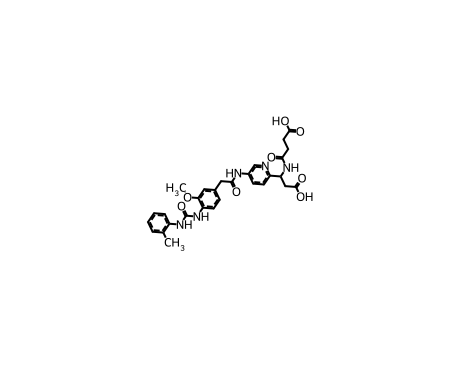 COc1cc(CC(=O)Nc2ccc(C(CC(=O)O)NC(=O)CCC(=O)O)nc2)ccc1NC(=O)Nc1ccccc1C